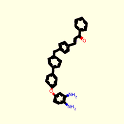 Nc1ccc(Oc2ccc(-c3ccc(Cc4ccc(/C=C/C(=O)c5ccccc5)cc4)cc3)cc2)cc1N